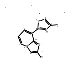 Cc1csc(-c2cccn3cc(C)nc23)n1